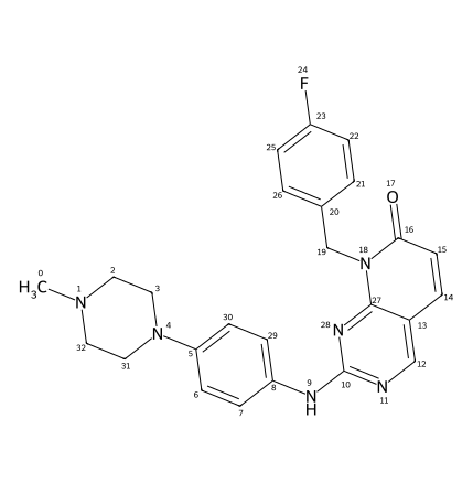 CN1CCN(c2ccc(Nc3ncc4ccc(=O)n(Cc5ccc(F)cc5)c4n3)cc2)CC1